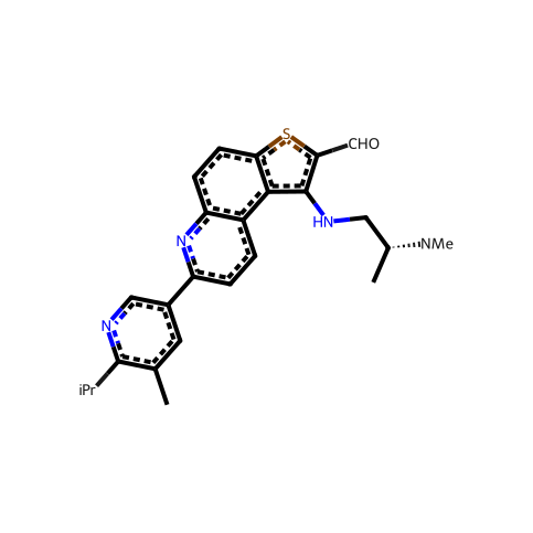 CN[C@H](C)CNc1c(C=O)sc2ccc3nc(-c4cnc(C(C)C)c(C)c4)ccc3c12